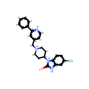 O=c1[nH]c2cc(Cl)ccc2n1C1CCN(Cc2ccnc(-c3ccccc3)c2)CC1